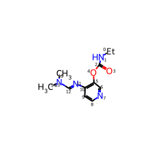 CCNC(=O)Oc1cnccc1N=CN(C)C